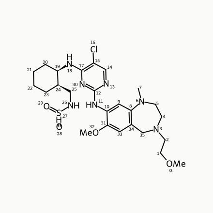 COCCN1CCN(C)c2cc(Nc3ncc(Cl)c(N[C@@H]4CCCC[C@@H]4CN[SH](=O)=O)n3)c(OC)cc2C1